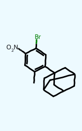 Cc1cc([N+](=O)[O-])c(Br)cc1C12CC3CC(CC(C3)C1)C2